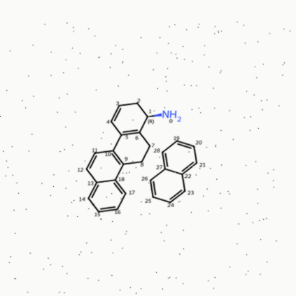 N[C@@H]1CC=CC2=C1CCc1c2ccc2ccccc12.c1ccc2ccccc2c1